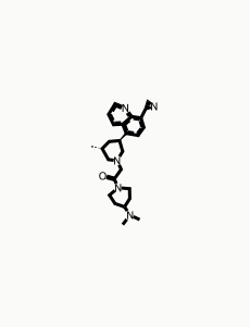 C[C@@H]1C[C@@H](c2ccc(C3C=N3)c3ncccc23)CN(CC(=O)N2CCC(N(C)C)CC2)C1